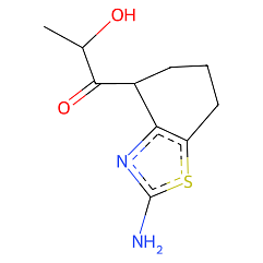 CC(O)C(=O)C1CCCc2sc(N)nc21